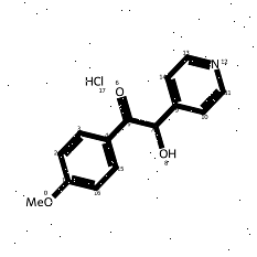 COc1ccc(C(=O)C(O)c2ccncc2)cc1.Cl